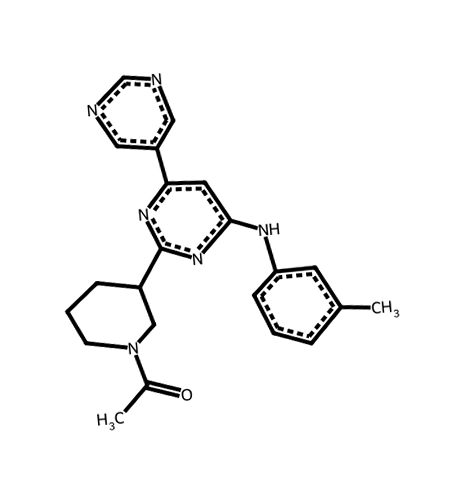 CC(=O)N1CCCC(c2nc(Nc3cccc(C)c3)cc(-c3cncnc3)n2)C1